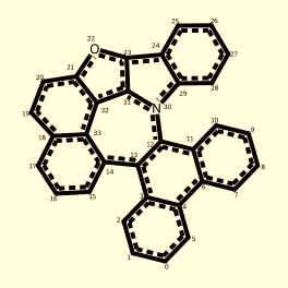 c1ccc2c(c1)c1ccccc1c1c2c2cccc3ccc4oc5c6ccccc6n1c5c4c32